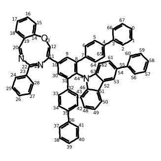 c1ccc(-c2ccc(-c3cc(-c4coc5ccccc5cnc(-c5ccccc5)n4)cc(-c4ccc(-c5ccccc5)cc4)c3-n3c4ccccc4c4cc(-c5ccccc5)ccc43)cc2)cc1